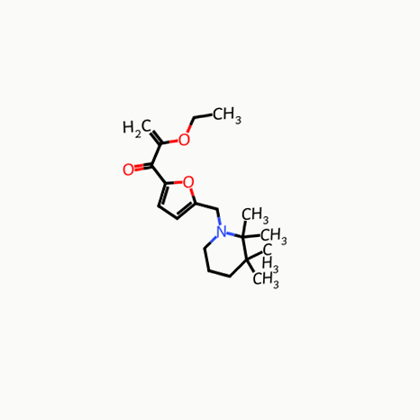 C=C(OCC)C(=O)c1ccc(CN2CCCC(C)(C)C2(C)C)o1